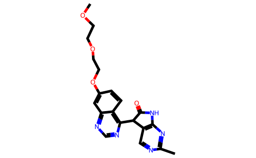 COCCOCCOc1ccc2c(C3C(=O)Nc4nc(C)ncc43)ncnc2c1